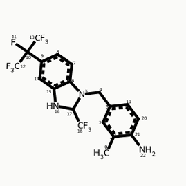 Cc1cc(CN2c3ccc(C(F)(C(F)(F)F)C(F)(F)F)cc3NC2C(F)(F)F)ccc1N